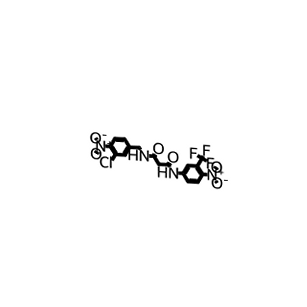 O=C(CC(=O)Nc1ccc([N+](=O)[O-])c(C(F)(F)F)c1)NCc1ccc([N+](=O)[O-])c(Cl)c1